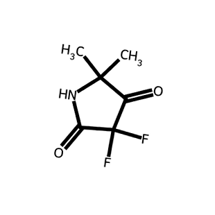 CC1(C)NC(=O)C(F)(F)C1=O